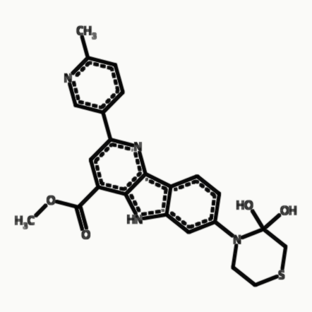 COC(=O)c1cc(-c2ccc(C)nc2)nc2c1[nH]c1cc(N3CCSCC3(O)O)ccc12